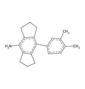 Cc1ccc(-c2c3c(c(N)c4c2CCC4)CCC3)cc1C